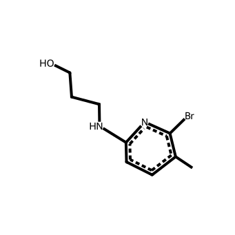 Cc1ccc(NCCCO)nc1Br